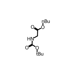 CCCCOC(=O)CNC(=O)OC(C)(C)C